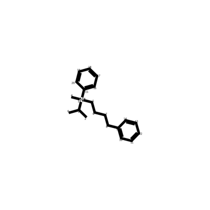 CC(C)[N+](C)(CCCCc1ccccc1)c1ccccc1